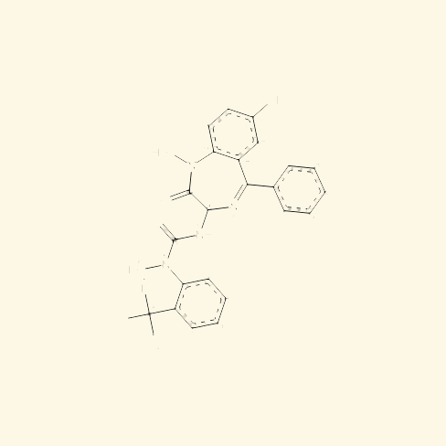 CN1C(=O)C(NC(=S)N(C)c2ccccc2C(F)(F)F)N=C(c2ccccc2)c2cc(Cl)ccc21